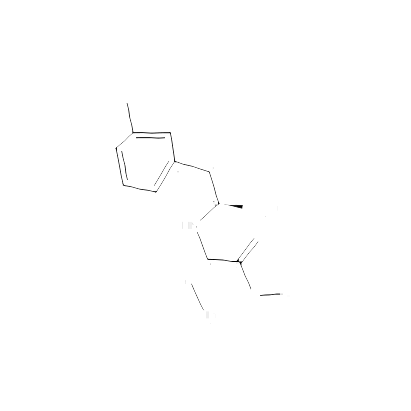 CCCCOC(=O)[C@H](CC(C)C)N[C@@H](Cc1cccc(O)c1)C(=O)OCC